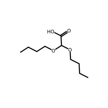 CCCCOC(OCCCC)C(=O)O